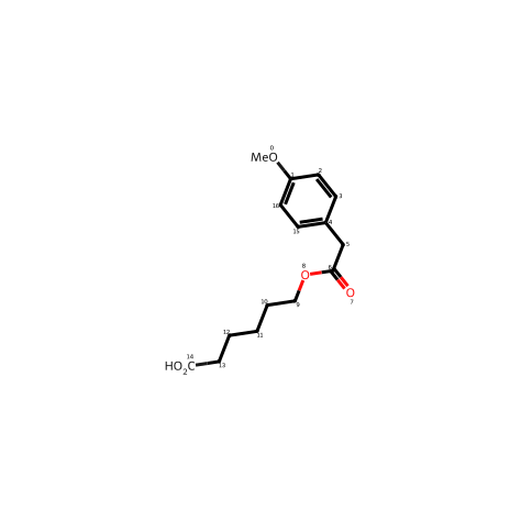 COc1ccc(CC(=O)OCCCCCC(=O)O)cc1